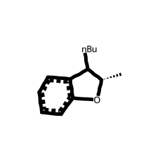 CCCCC1c2ccccc2O[C@H]1C